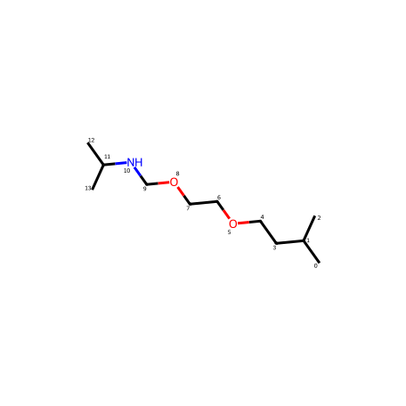 CC(C)CCOCCOCNC(C)C